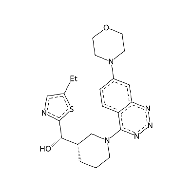 CCc1cnc([C@@H](O)[C@H]2CCCN(c3nnnc4cc(N5CCOCC5)ccc34)C2)s1